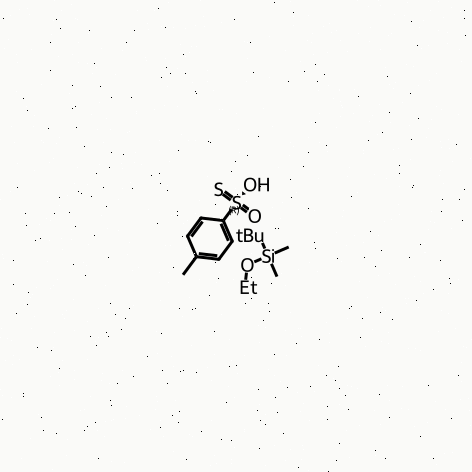 CCO[Si](C)(C)C(C)(C)C.Cc1ccc([S@](=O)(O)=S)cc1